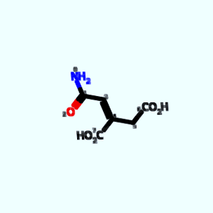 NC(=O)C=C(CC(=O)O)C(=O)O